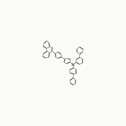 c1ccc(-c2ccc(N(c3ccc(-c4ccc(-c5cc6ccccc6c6ccccc56)cc4)cc3)c3cccc(-c4ccccc4)c3)cc2)cc1